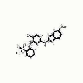 COc1ccc2nc(Nc3ncc(Cl)c(Nc4ccccc4P(C)(C)=O)n3)sc2c1